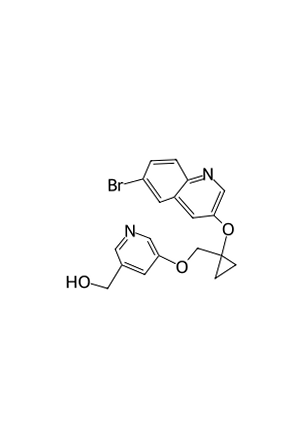 OCc1cncc(OCC2(Oc3cnc4ccc(Br)cc4c3)CC2)c1